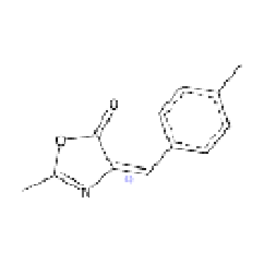 CC1=N/C(=C/c2ccc(C)cc2)C(=O)O1